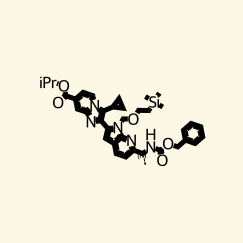 CC(C)OC(=O)c1ccn2c(C3CC3)c(-c3cc4ccc([C@@H](C)NC(=O)OCc5ccccc5)nc4n3COCC[Si](C)(C)C)nc2c1